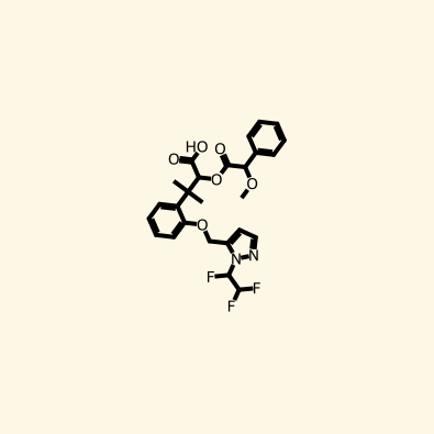 COC(C(=O)OC(C(=O)O)C(C)(C)c1ccccc1OCc1ccnn1C(F)C(F)F)c1ccccc1